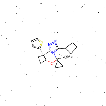 COCO[C@@H]1CC[C@@]1(c1cccs1)c1nnc(C2CCC2)n1C1CC1